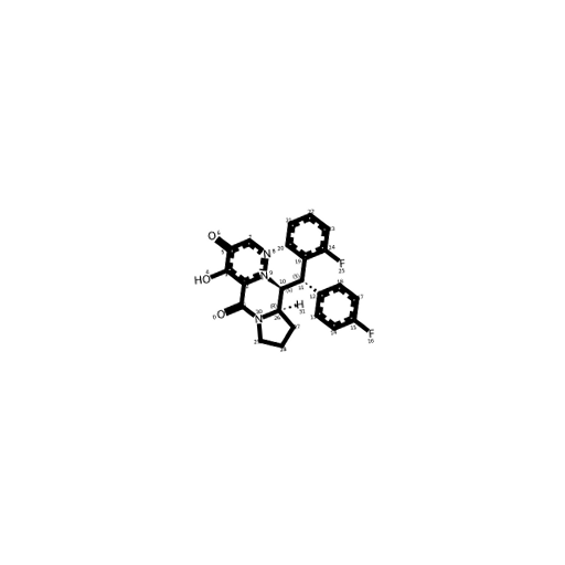 O=C1c2c(O)c(=O)cnn2[C@@H]([C@@H](c2ccc(F)cc2)c2ccccc2F)[C@H]2CCCN12